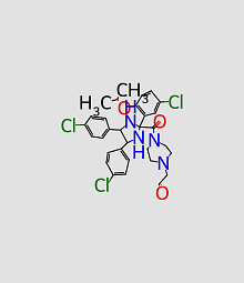 CC(C)Oc1ccc(Cl)cc1C1(C(=O)N2CCN(CC=O)CC2)NC(c2ccc(Cl)cc2)C(c2ccc(Cl)cc2)N1